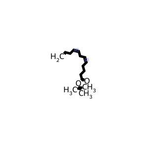 C=CC/C=C\C/C=C\CCCC(=O)OC(C)(C)C